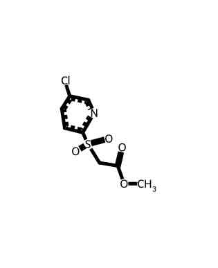 COC(=O)CS(=O)(=O)c1ccc(Cl)cn1